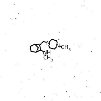 CNC1C2CCC(C2)C1CN1CCN(C)CC1